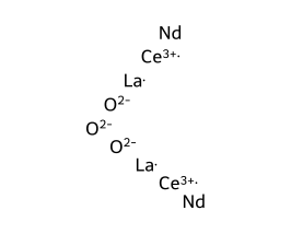 [Ce+3].[Ce+3].[La].[La].[Nd].[Nd].[O-2].[O-2].[O-2]